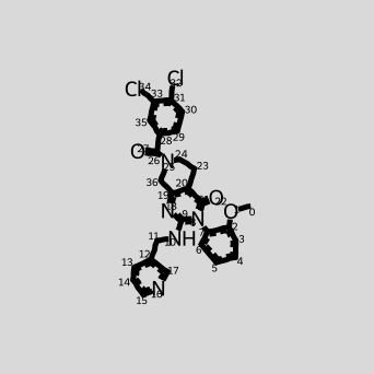 COc1ccccc1-n1c(NCc2cccnc2)nc2c(c1=O)CCN(C(=O)c1ccc(Cl)c(Cl)c1)C2